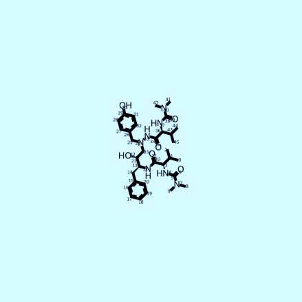 CC(C)[C@H](NC(=O)N(C)C)C(=O)N[C@@H](Cc1ccccc1)[C@@H](O)CN(Cc1ccc(O)cc1)NC(=O)[C@@H](NC(=O)N(C)C)C(C)C